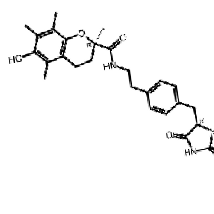 Cc1c(C)c2c(c(C)c1O)CC[C@](C)(C(=O)NCCc1ccc(C[C@H]3SC(=O)NC3=O)cc1)O2